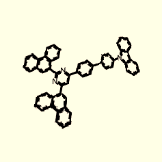 c1ccc2c(c1)cc(-c1cc(-c3ccc(-c4ccc(-n5c6ccccc6c6ccccc65)cc4)cc3)nc(-c3cc4ccccc4c4ccccc34)n1)c1ccccc12